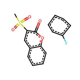 CS(=O)(=O)c1cc2ccccc2oc1=O.Fc1ccccc1